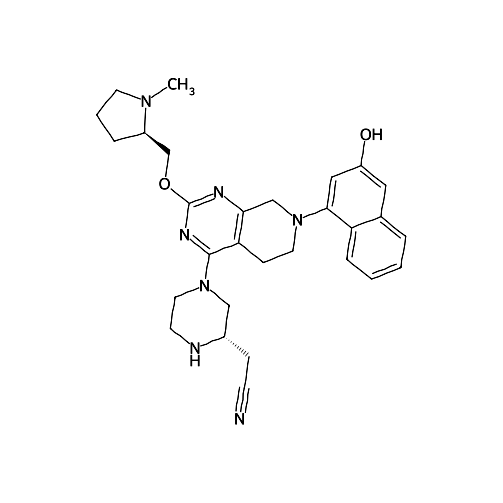 CN1CCC[C@@H]1COc1nc2c(c(N3CCN[C@@H](CC#N)C3)n1)CCN(c1cc(O)cc3ccccc13)C2